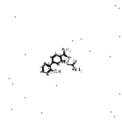 NC(=O)Cn1nc(N)c2ccc(-c3ccccc3O)cc21